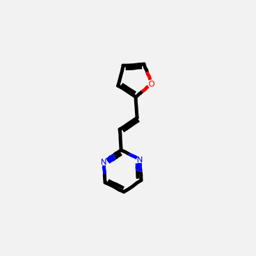 C(=C\c1ccco1)/c1ncccn1